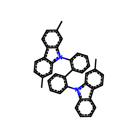 Cc1ccc2c3ccccc3n(-c3ccccc3-c3ccccc3-n3c4cc(C)ccc4c4ccc(C)cc43)c2c1